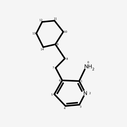 Nc1ncccc1CCC1CCCCC1